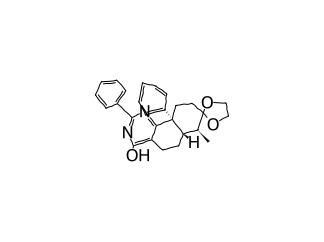 C[C@H]1[C@@H]2CCc3c(O)nc(-c4ccccc4)nc3[C@@]2(c2ccccc2)CCC12OCCO2